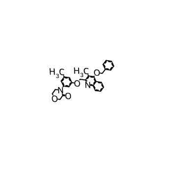 Cc1cc(OCc2nc3ccccc3c(OCc3ccccc3)c2C)cc(N2CCOCC2=O)c1